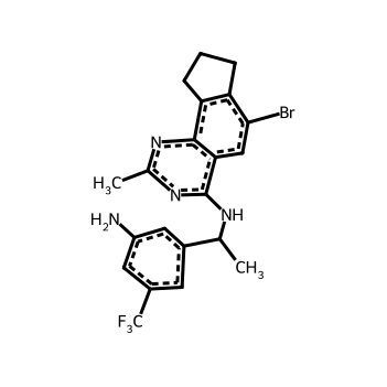 Cc1nc(NC(C)c2cc(N)cc(C(F)(F)F)c2)c2cc(Br)c3c(c2n1)CCC3